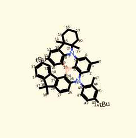 Cc1cc2c3c(c1)N1c4c(cc(C(C)(C)C)cc4C4(C)CCCCC14C)B3c1c(ccc3c1-c1ccccc1C3(C)C)N2c1ccc(C(C)(C)C)cc1C